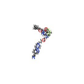 CN(CCOCCCN1CCN(c2ccc(C#N)cn2)CC1)c1cnn(COCC[Si](C)(C)C)c(=O)c1C(F)(F)F